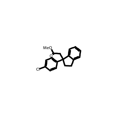 COC(=O)CC1(c2ccc(Cl)cc2)CCc2ccccc21